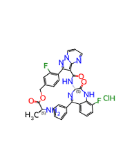 C[C@H](N)C(=O)OCc1ccc(-c2nn3cccnc3c2C(=O)N[C@H]2N=C(c3ccccc3)c3cccc(F)c3NC2=O)c(F)c1.Cl